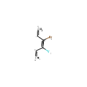 C=C/C(F)=C(/Br)C=C